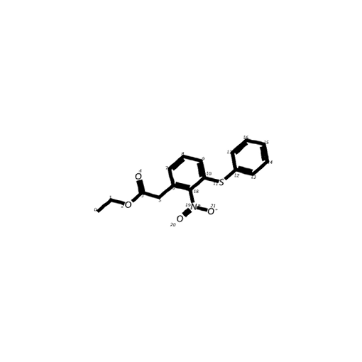 CCOC(=O)Cc1cccc(Sc2ccccc2)c1[N+](=O)[O-]